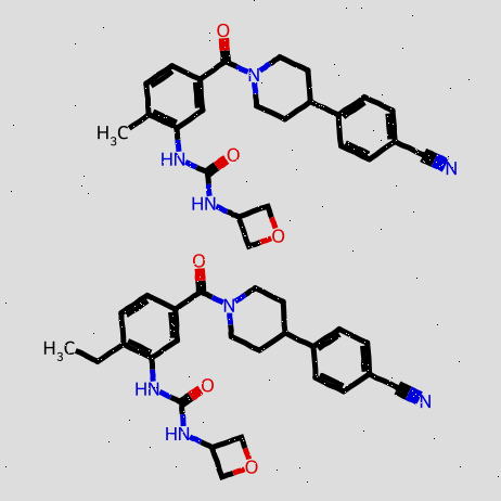 CCc1ccc(C(=O)N2CCC(c3ccc(C#N)cc3)CC2)cc1NC(=O)NC1COC1.Cc1ccc(C(=O)N2CCC(c3ccc(C#N)cc3)CC2)cc1NC(=O)NC1COC1